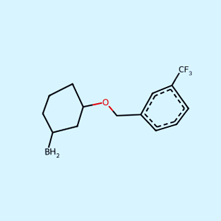 BC1CCCC(OCc2cccc(C(F)(F)F)c2)C1